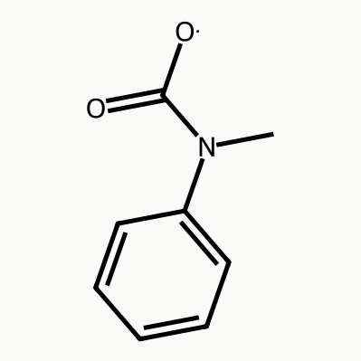 CN(C([O])=O)c1ccccc1